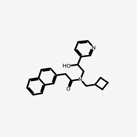 O=C(Cc1ccc2ccccc2c1)N(CC1CCC1)CC(O)c1cccnc1